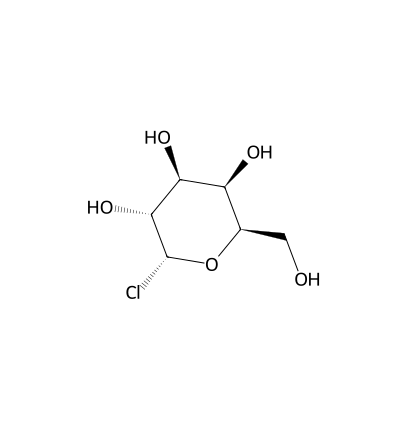 OC[C@H]1O[C@H](Cl)[C@H](O)[C@@H](O)[C@H]1O